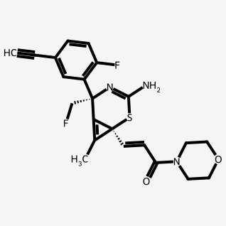 C#Cc1ccc(F)c([C@@]2(CF)N=C(N)S[C@@]3(/C=C/C(=O)N4CCOCC4)C(C)=C32)c1